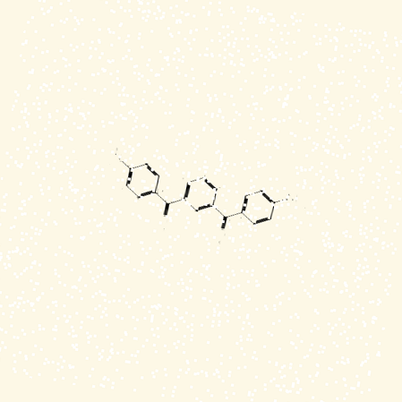 Nc1ccc(C(=O)c2cccc(C(=O)c3ccc(N)cc3)c2)cc1